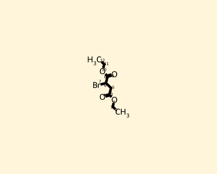 CCOC(=O)CC(Br)C(=O)OCC